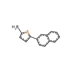 Bc1ccc(-c2ccc3ccccc3c2)s1